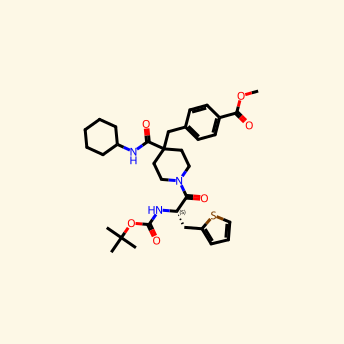 COC(=O)c1ccc(CC2(C(=O)NC3CCCCC3)CCN(C(=O)[C@H](Cc3cccs3)NC(=O)OC(C)(C)C)CC2)cc1